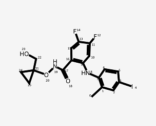 Cc1cc(I)ccc1Nc1cc(F)c(F)cc1C(=O)NOC1(CO)CC1